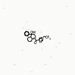 O=C(c1cn(CC(F)(F)F)cn1)N1CCC(O)(c2ccccc2)C2CCCCC21